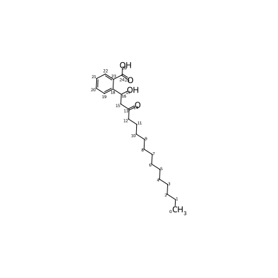 CCCCCCCCCCCCCC(=O)CC(O)c1ccccc1C(=O)O